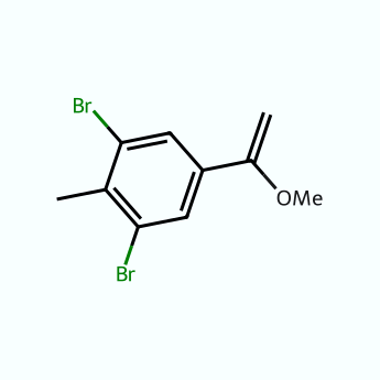 C=C(OC)c1cc(Br)c(C)c(Br)c1